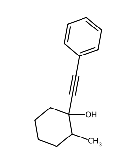 CC1CCCCC1(O)C#Cc1ccccc1